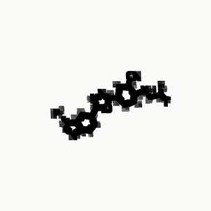 CC(C)n1cnc2ccc(-c3nnc(-c4ccc(NCC(F)F)c(C#N)c4)o3)cc21